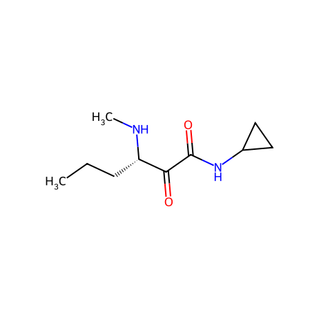 CCC[C@H](NC)C(=O)C(=O)NC1CC1